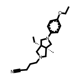 CCOc1ccc(N2C[C@@]3(C)CN(CCCC#N)C[C@@]3(CC)C2)cc1